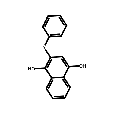 Oc1cc(Sc2ccccc2)c(O)c2ccccc12